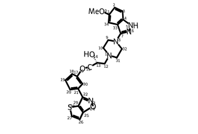 COc1ccc2[nH]nc(N3CCN(C[C@@H](O)COc4cccc(-c5noc6ccsc56)c4)CC3)c2c1